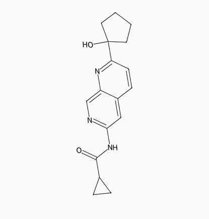 O=C(Nc1cc2ccc(C3(O)CCCC3)nc2cn1)C1CC1